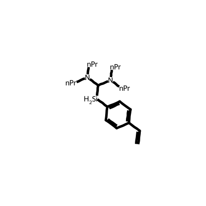 C=Cc1ccc([SiH2]C(N(CCC)CCC)N(CCC)CCC)cc1